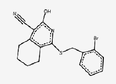 N#Cc1c(O)nc(SCc2ccccc2Br)c2c1CCCC2